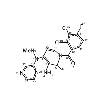 CNN(C1=C(N)C(C)N(C(=O)c2ccc(F)c(Cl)c2Cl)C=C1)c1cnccn1